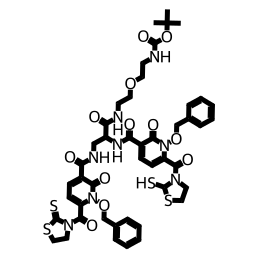 CC(C)(C)OC(=O)NCCOCCNC(=O)C(CNC(=O)c1ccc(C(=O)N2CCSC2=S)n(OCc2ccccc2)c1=O)NC(=O)c1ccc(C(=O)N2CCSC2S)n(OCc2ccccc2)c1=O